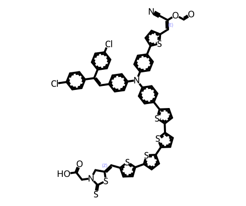 N#C/C(=C\c1ccc(-c2ccc(N(c3ccc(C=C(c4ccc(Cl)cc4)c4ccc(Cl)cc4)cc3)c3ccc(-c4ccc(-c5ccc(-c6ccc(-c7ccc(/C=C8/CN(CC(=O)O)C(=S)S8)s7)s6)s5)s4)cc3)cc2)s1)OC=O